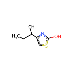 CCC(C)c1csc(O)n1